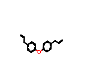 C=CCc1ccc(Oc2ccc(CC=C)cc2)cc1